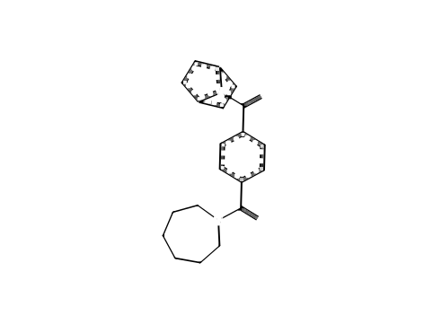 O=C(c1ccc(C(=O)n2c3ccc2cc3)cc1)N1CCCCCC1